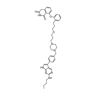 CCCCNc1ncc2c(-c3ccc(CN4CCN(CCCOCCCc5ccccc5Oc5cccc6c5C(=O)NC(=O)C6)CC4)cc3)c[nH]c2n1